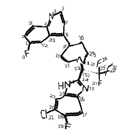 Fc1ccc2nccc(C3CCN([C@@H](c4nc5cc(F)c(Cl)cc5[nH]4)C(F)(F)F)CC3)c2c1